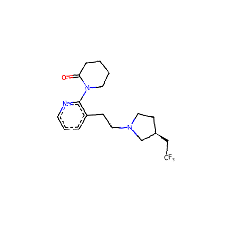 O=C1CCCCN1c1ncccc1CCN1CC[C@@H](CC(F)(F)F)C1